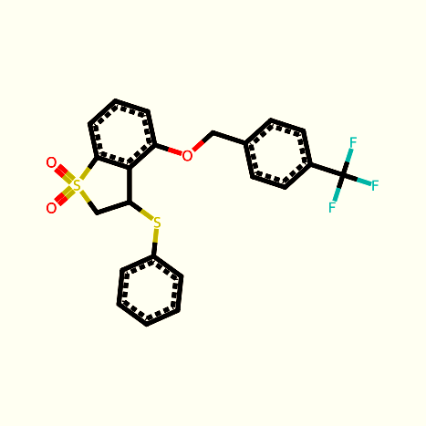 O=S1(=O)CC(Sc2ccccc2)c2c(OCc3ccc(C(F)(F)F)cc3)cccc21